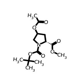 COC(=O)[C@H]1CC(OC(C)=O)CN1C(=O)OC(C)(C)C